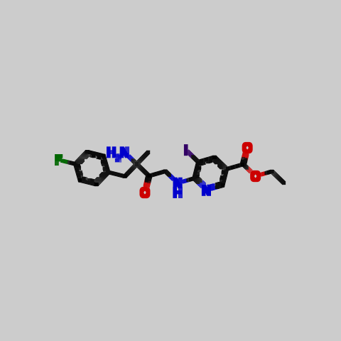 CCOC(=O)c1cnc(NCC(=O)C(C)(N)Cc2ccc(F)cc2)c(I)c1